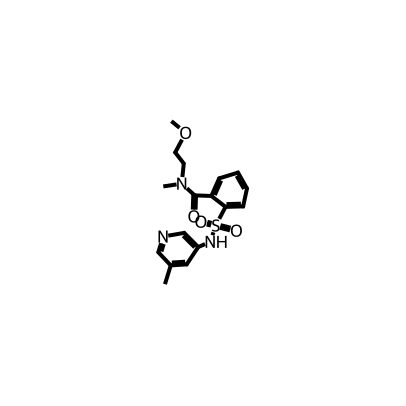 COCCN(C)C(=O)c1ccccc1S(=O)(=O)Nc1cncc(C)c1